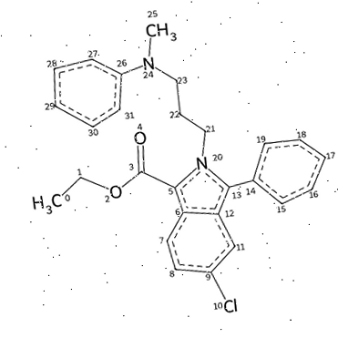 CCOC(=O)c1c2ccc(Cl)cc2c(-c2ccccc2)n1CCCN(C)c1ccccc1